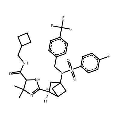 CC1(C)N=C([C@H]2CC3(N(Cc4ccc(C(F)(F)F)cc4)S(=O)(=O)c4ccc(F)cc4)CC2C3)NC1C(=O)NCC1CCC1